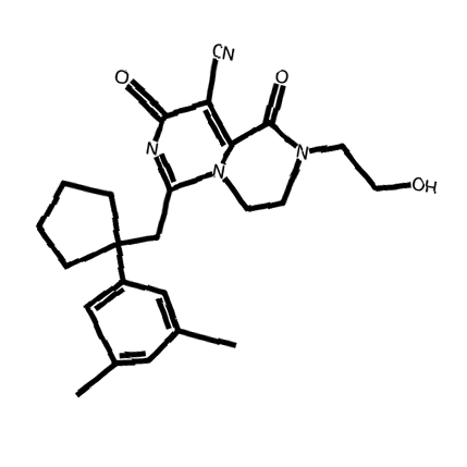 Cc1cc(C)cc(C2(Cc3nc(=O)c(C#N)c4n3CCN(CCO)C4=O)CCCC2)c1